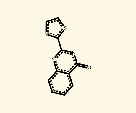 O=c1nc(-c2nccs2)sc2ccccc12